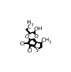 CCC(Oc1cc2c(C)csc2c(Cl)c1Cl)C(=O)O